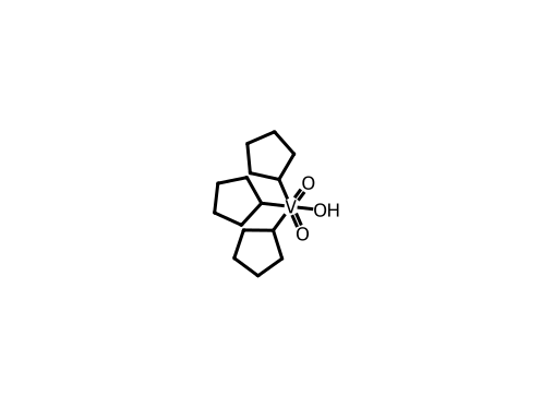 [O]=[V](=[O])([OH])([CH]1CCCC1)([CH]1CCCC1)[CH]1CCCC1